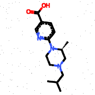 C[C](C)CN1CCN(c2ccc(C(=O)O)cn2)[C@H](C)C1